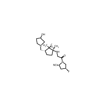 CC1(C)[C@@H](CN2CCC(O)C2)CC[C@@]1(C)NCC(=O)N1C[C@@H](F)C[C@H]1C#N